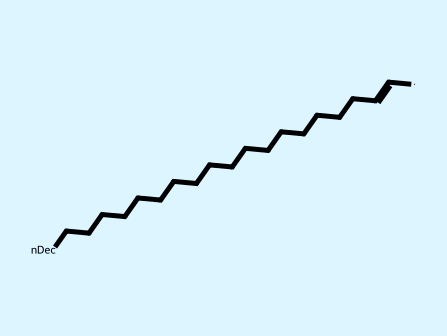 [CH2]C=CCCCCCCCCCCCCCCCCCCCCCCCCCCC